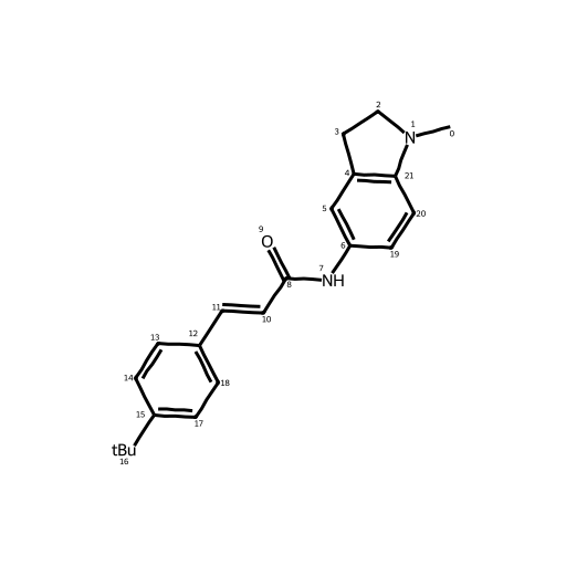 CN1CCc2cc(NC(=O)/C=C/c3ccc(C(C)(C)C)cc3)ccc21